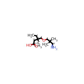 CCC(C)(COCC(C)(C)CN)CC(=O)O